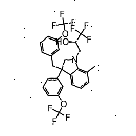 Cc1cccc2c1N(C[C@@H](O)C(F)(F)F)CC2(Cc1cccc(OC(F)(F)F)c1)c1cccc(OC(F)(F)F)c1